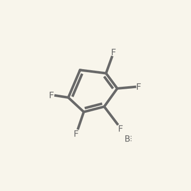 Fc1cc(F)c(F)c(F)c1F.[B]